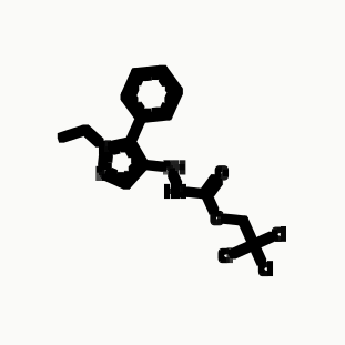 CCn1ncc(NNC(=O)OCC(Cl)(Cl)Cl)c1-c1ccccc1